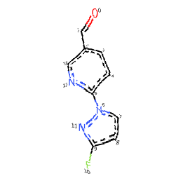 O=Cc1ccc(-n2ccc(F)n2)nc1